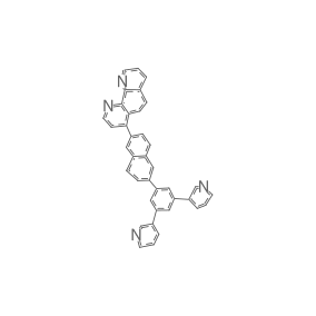 c1cncc(-c2cc(-c3cccnc3)cc(-c3ccc4cc(-c5ccnc6c5ccc5cccnc56)ccc4c3)c2)c1